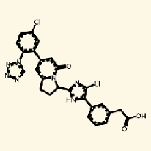 O=C(O)Cc1cccc(-c2[nH]c(C3CCc4cc(-c5cc(Cl)ccc5-n5cnnn5)cc(=O)n43)nc2Cl)c1